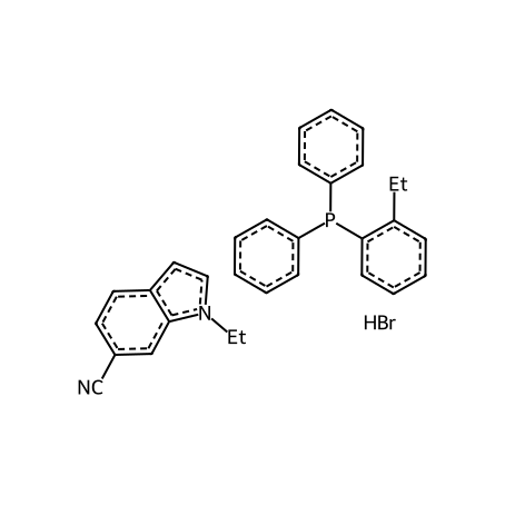 Br.CCc1ccccc1P(c1ccccc1)c1ccccc1.CCn1ccc2ccc(C#N)cc21